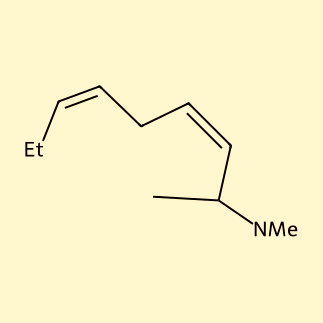 CC/C=C\C/C=C\C(C)NC